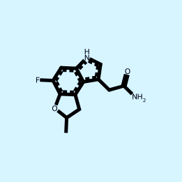 CC1Cc2c(c(F)cc3[nH]cc(CC(N)=O)c23)O1